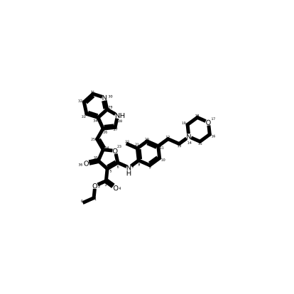 CCOC(=O)C1=C(Nc2ccc(CCN3CCOCC3)cc2C)O/C(=C\c2c[nH]c3ncccc23)C1=O